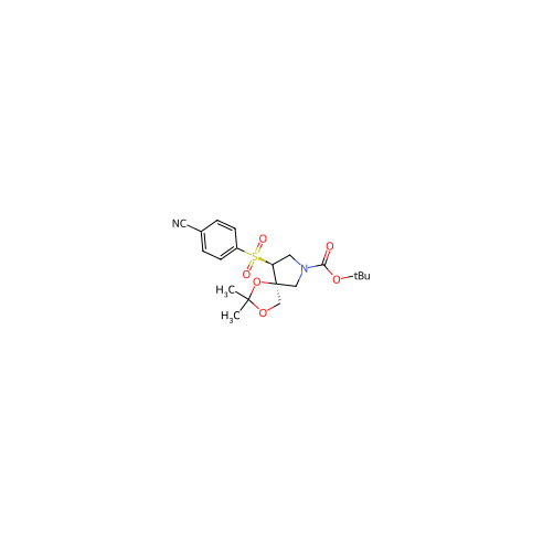 CC(C)(C)OC(=O)N1C[C@H](S(=O)(=O)c2ccc(C#N)cc2)[C@@]2(COC(C)(C)O2)C1